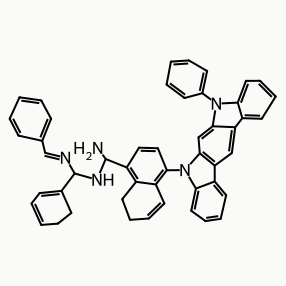 NC(NC(/N=C/c1ccccc1)C1=CC=CCC1)c1ccc(-n2c3ccccc3c3cc4c5ccccc5n(-c5ccccc5)c4cc32)c2c1CCC=C2